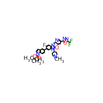 CN1CCC(n2c(=O)n(Cc3ccc(-c4nnc(C(F)F)o4)cn3)c3cc(F)c(-c4ccc5c(ccn5C(=O)OC(C)(C)C)c4)cc32)CC1